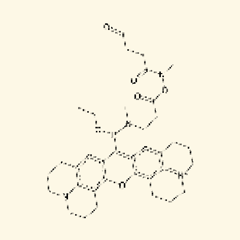 CCOP(C1=c2cc3c4c(c2Oc2c1cc1c5c2CCCN5CCC1)CCC[N+]=4CCC3)N(C)CCC(=O)ON(C)C(=O)CCC=O